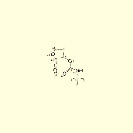 CC(C)(C)NC(=O)OC1CCOC1=O